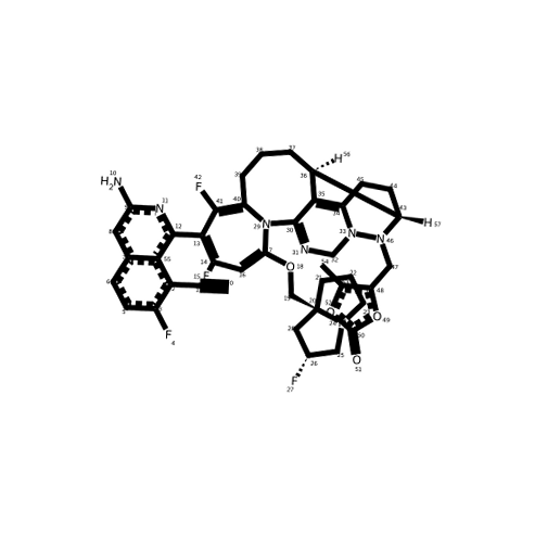 C#Cc1c(F)ccc2cc(N)nc(C3=C(F)C=C(OC[C@@]45CCCN4C[C@H](F)C5)N4C5=NCN6C7=C5[C@@H](CCCC4=C3F)[C@H](CC7)N6Cc3oc(=O)oc3C)c12